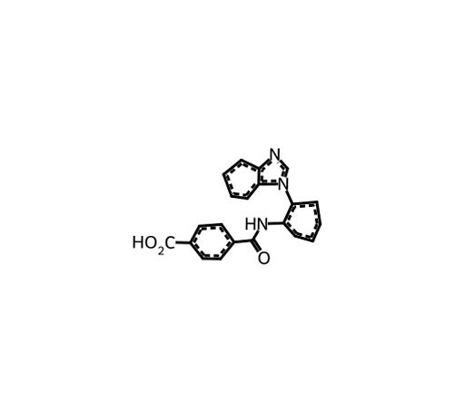 O=C(O)c1ccc(C(=O)Nc2ccccc2-n2cnc3ccccc32)cc1